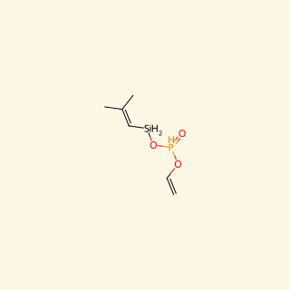 C=CO[PH](=O)O[SiH2]C=C(C)C